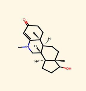 CN1C[C@@H]2[C@H](CC[C@]3(C)C(O)CC[C@@H]23)[C@@]2(C)CCC(=O)C=C12